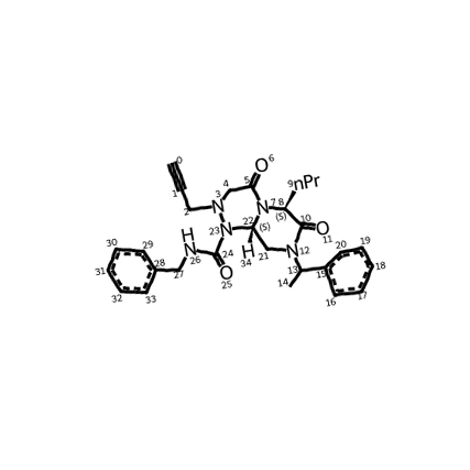 C#CCN1CC(=O)N2[C@@H](CCC)C(=O)N(C(C)c3ccccc3)C[C@@H]2N1C(=O)NCc1ccccc1